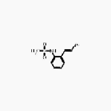 CC(C)/C=C/c1ccccc1NS(C)(=O)=O